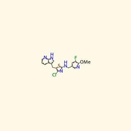 COc1ncc(CNc2nc(Cl)c(Cc3c[nH]c4ncccc34)s2)cc1F